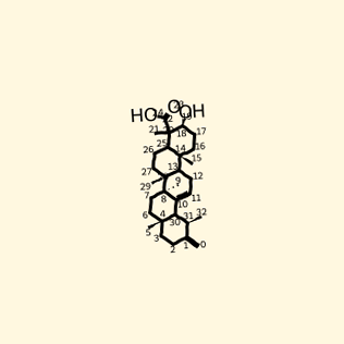 C=C1CC[C@]2(C)CC[C@]3(C)C(=CCC4[C@@]5(C)CC[C@H](O)C(C)(C(=O)O)C5CC[C@]43C)C2[C@H]1C